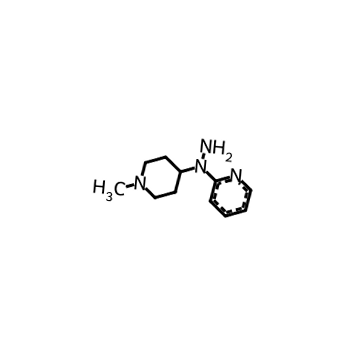 CN1CCC(N(N)c2ccccn2)CC1